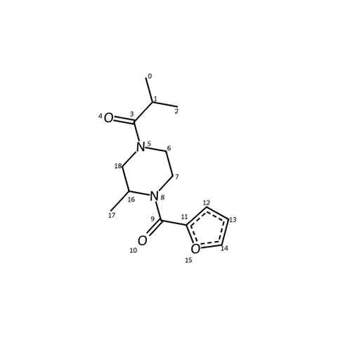 CC(C)C(=O)N1CCN(C(=O)c2ccco2)C(C)C1